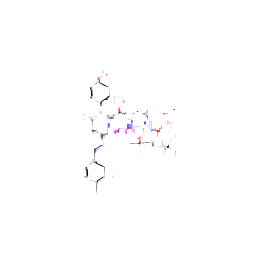 CCCC[C@@H](CN(C(=O)OC(C)(C)C)C(=O)[C@H](Cc1ccc(O)cc1)N[C@H](/C=C/c1ccc(C)cc1)[C@@H](C)CC)NC(=O)OC(C)(C)C